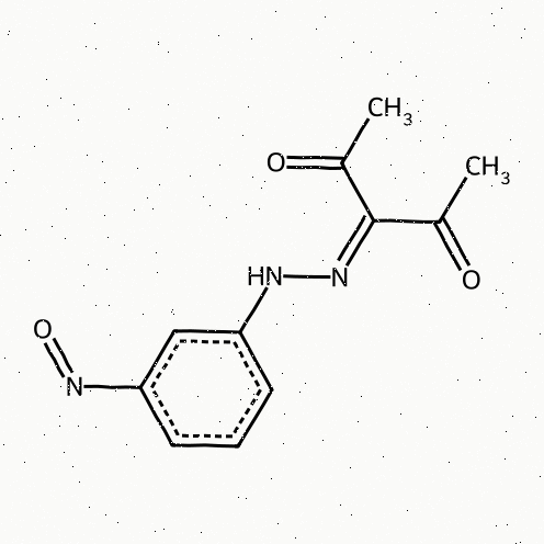 CC(=O)C(=NNc1cccc(N=O)c1)C(C)=O